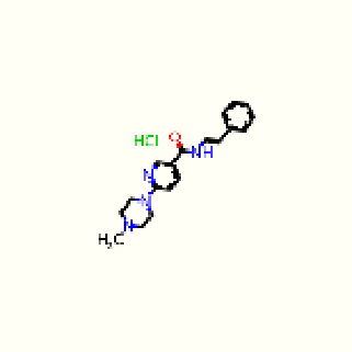 CN1CCN(c2ccc(C(=O)NC=Cc3ccccc3)cn2)CC1.Cl